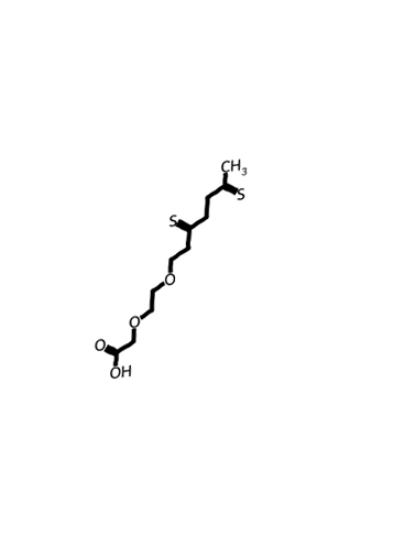 CC(=S)CCC(=S)CCOCCOCC(=O)O